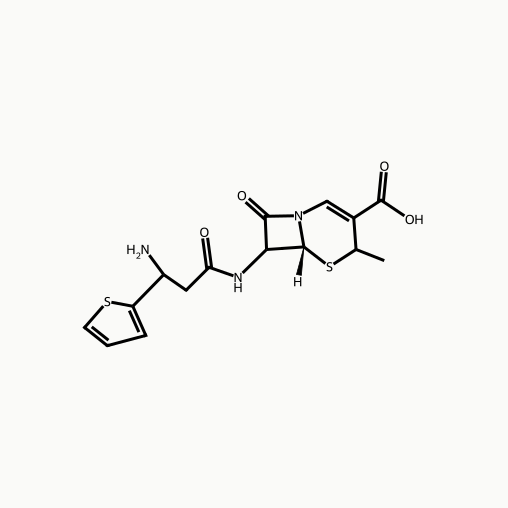 CC1S[C@@H]2C(NC(=O)CC(N)c3cccs3)C(=O)N2C=C1C(=O)O